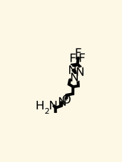 CC(N)C=NOCCC1CCN(c2ncc(C(F)(F)F)cn2)CC1